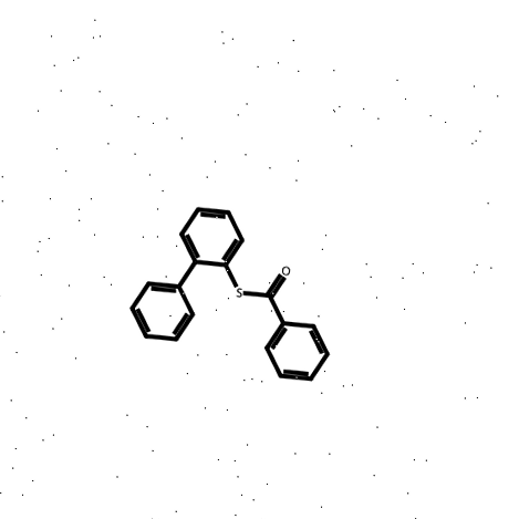 O=C(Sc1ccccc1-c1ccccc1)c1ccccc1